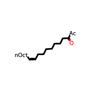 [CH2]C(=O)C(=O)CCCCCCC/C=C\CCCCCCCC